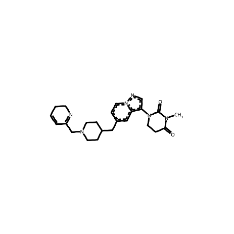 CN1C(=O)CCN(c2cnn3ccc(CC4CCN(CC5=NCCC=C5)CC4)cc23)C1=O